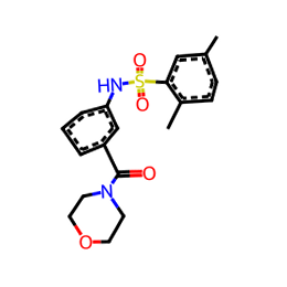 Cc1ccc(C)c(S(=O)(=O)Nc2cccc(C(=O)N3CCOCC3)c2)c1